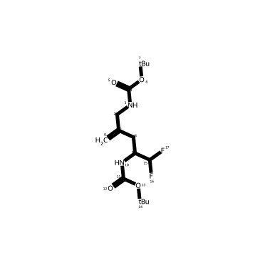 C=C(CNC(=O)OC(C)(C)C)CC(NC(=O)OC(C)(C)C)C(F)F